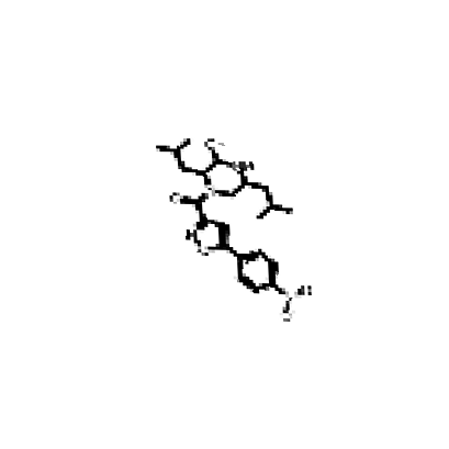 CC(C)CC1CN(C(=O)c2cc(-c3ccc([N+](=O)[O-])cc3)on2)C(CC(C)C)C(O)N1